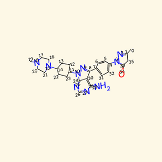 CC1=NN(c2ccc(-c3nn(C4CCC(N5CCN(C)CC5)CC4)c4ncnc(N)c34)cc2)C(=O)C1